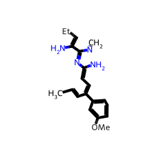 C=NC(=N\C(N)=C\C=C(/C=C/C)c1cccc(OC)c1)/C(N)=C/CC